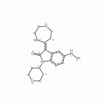 CC(C)Nc1ccc2c(c1)/C(=C1\CCOCCN1)C(=O)N2C1CCOCC1